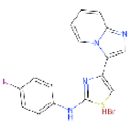 Br.Ic1ccc(Nc2nc(-c3cnc4ccccn34)cs2)cc1